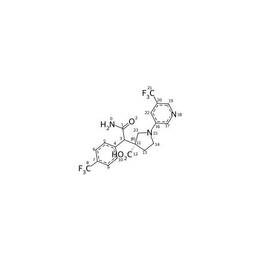 NC(=O)C(c1ccc(C(F)(F)F)cc1)[C@]1(C(=O)O)CCN(c2cncc(C(F)(F)F)c2)C1